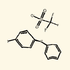 Ic1ccc([I+]c2ccccc2)cc1.O=S(=O)([O-])C(F)(F)F